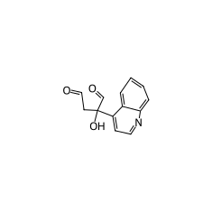 O=CCC(O)(C=O)c1ccnc2ccccc12